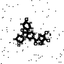 Cc1c(Cl)c(C(F)(F)F)nn1C(C=O)N1CCC(C(=O)N2CCNCC2)(c2ccc(Cl)cc2)CC1